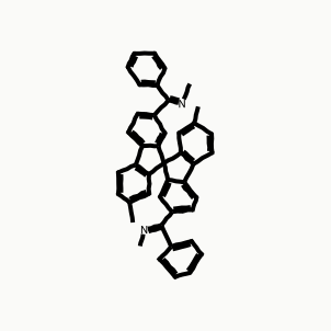 C/N=C(\c1ccccc1)c1ccc2c(c1)C1(c3cc(C)ccc3-2)c2cc(C)ccc2-c2ccc(/C(=N/C)c3ccccc3)cc21